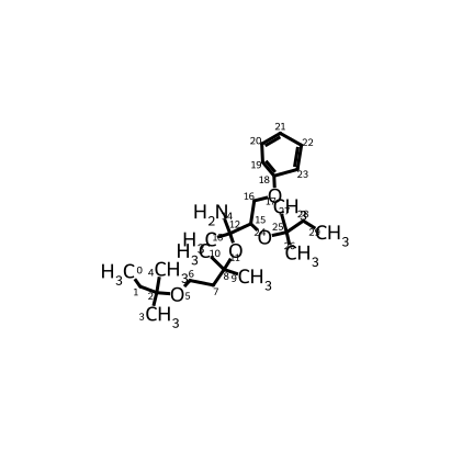 CCC(C)(C)OCCC(C)(C)OC(C)(N)C(COc1ccccc1)OC(C)(C)CC